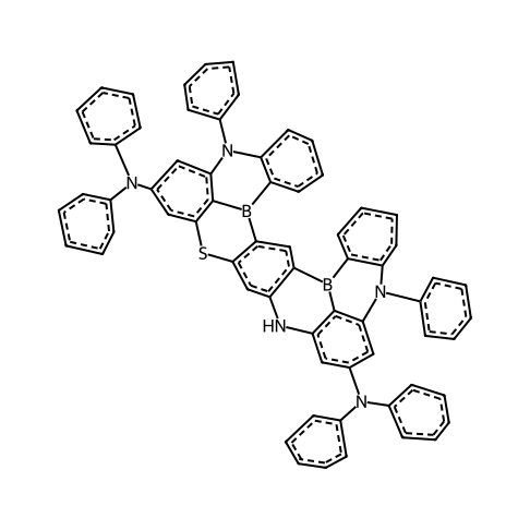 c1ccc(N(c2ccccc2)c2cc3c4c(c2)N(c2ccccc2)c2ccccc2B4c2cc4c(cc2N3)Sc2cc(N(c3ccccc3)c3ccccc3)cc3c2B4c2ccccc2N3c2ccccc2)cc1